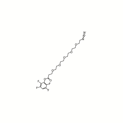 [N-]=[N+]=NCCOCCOCCOCCOCCOCCC(=O)Oc1c(F)c(F)cc(F)c1F